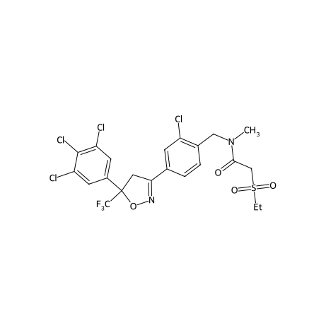 CCS(=O)(=O)CC(=O)N(C)Cc1ccc(C2=NOC(c3cc(Cl)c(Cl)c(Cl)c3)(C(F)(F)F)C2)cc1Cl